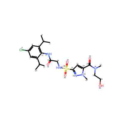 CC(C)c1cc(Cl)cc(C(C)C)c1NC(=O)CNS(=O)(=O)c1cc(C(=O)N(C)CCO)n(C)n1